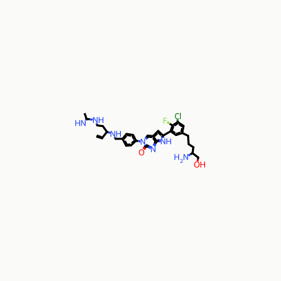 C=CC(CCNC(C)=N)NCc1ccc(-n2cc3cc(-c4cc(CCCC(N)CO)cc(Cl)c4F)[nH]c3nc2=O)cc1